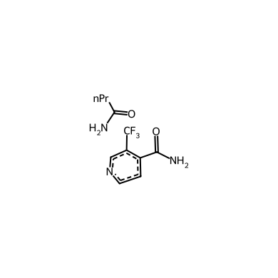 CCCC(N)=O.NC(=O)c1ccncc1C(F)(F)F